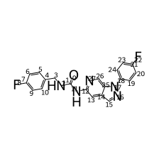 O=C(NCc1ccc(F)cc1)Nc1cc2cnn(-c3ccc(F)cc3)c2cn1